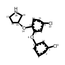 Clc1cccc(Oc2cc(Cl)ccc2O[C@H]2CCNC2)c1